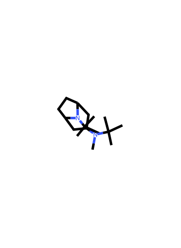 CN(C1CC2CCC(C1)N2C(C)(C)C)C(C)(C)C